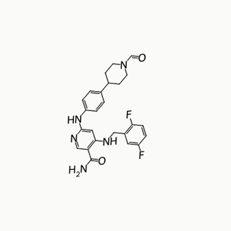 NC(=O)c1cnc(Nc2ccc(C3CCN(C=O)CC3)cc2)cc1NCc1cc(F)ccc1F